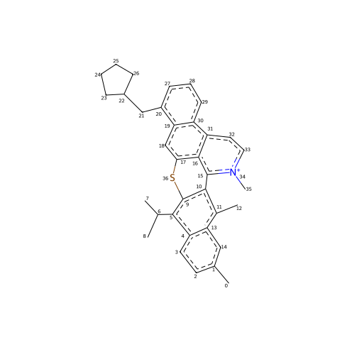 Cc1ccc2c(C(C)C)c3c(c(C)c2c1)-c1c2c(cc4c(CC5CCCC5)cccc4c2cc[n+]1C)S3